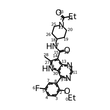 CCOc1ccc(F)cc1-c1ncnc2c(C(=O)NC3CCN(C(=O)CC)CC3)c(C)[nH]c12